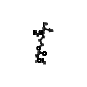 C=CC(=O)OCCC[SiH2]C(I)I